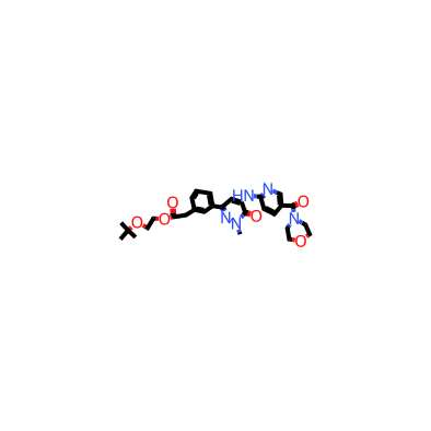 Cn1nc(-c2cccc(CC(=O)OCCOC(C)(C)C)c2)cc(Nc2ccc(C(=O)N3CCOCC3)cn2)c1=O